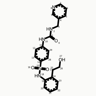 O=C(NCc1cccnc1)Nc1ccc(S(=O)(=O)Nc2ccccc2CCO)cc1